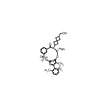 Cc1cccc(C)c1-c1nc2nc(c1C)OC[C@@H](CC(C)C)N(C1CC3(CC(CO)C3)C1)C(=O)c1cccc(c1)S(=O)(=O)N2